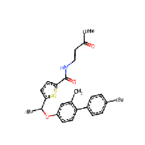 CCCCC(Oc1ccc(-c2ccc(C(C)(C)C)cc2)c(C)c1)c1ccc(C(=O)NCCC(=O)OC)s1